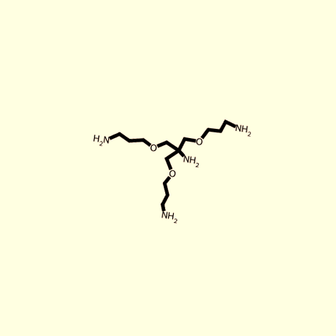 NCCCOCC(N)(COCCCN)COCCCN